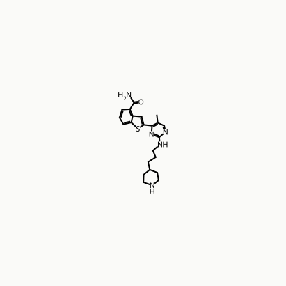 Cc1cnc(NCCCC2CCNCC2)nc1-c1cc2c(C(N)=O)cccc2s1